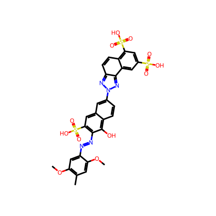 COc1cc(N=Nc2c(S(=O)(=O)O)cc3cc(-n4nc5ccc6c(S(=O)(=O)O)cc(S(=O)(=O)O)cc6c5n4)ccc3c2O)c(OC)cc1C